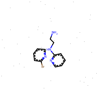 Brc1ccccn1.NCCNc1ccccn1